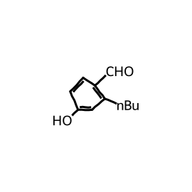 CCCCc1cc(O)ccc1C=O